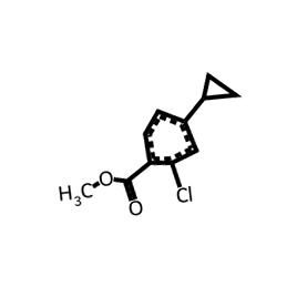 COC(=O)c1ccc(C2CC2)cc1Cl